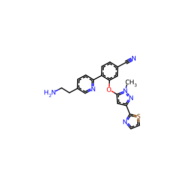 Cn1nc(-c2nccs2)cc1Oc1cc(C#N)ccc1-c1ccc(CCN)cn1